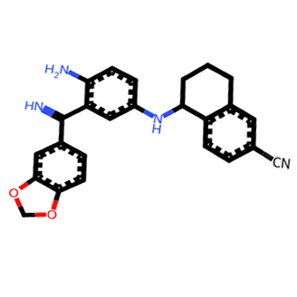 N#Cc1ccc2c(c1)CCCC2Nc1ccc(N)c(C(=N)c2ccc3c(c2)OCO3)c1